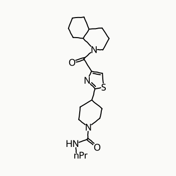 CCCNC(=O)N1CCC(c2nc(C(=O)N3CCCC4CCCCC43)cs2)CC1